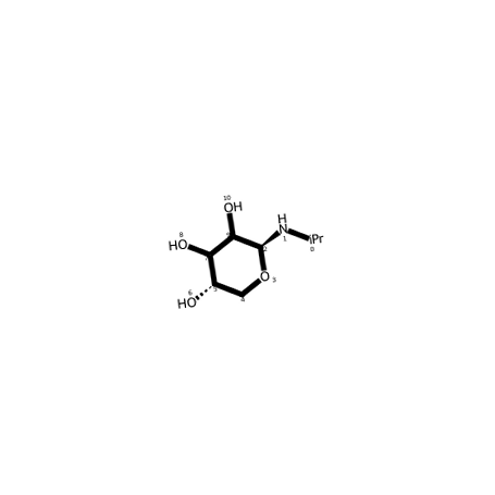 CC(C)N[C@H]1OC[C@H](O)C(O)C1O